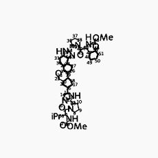 COC(=O)NC(C(=O)N1CCC[C@H]1c1ncc(-c2ccc3c(c2)COc2c-3ccc3c2ccc2[nH]c([C@@H]4CCCN4C(=O)[C@H](NC(=O)OC)c4ccccc4)nc23)[nH]1)C(C)C